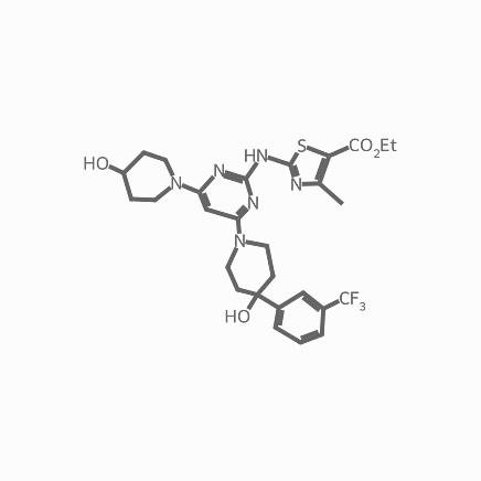 CCOC(=O)c1sc(Nc2nc(N3CCC(O)CC3)cc(N3CCC(O)(c4cccc(C(F)(F)F)c4)CC3)n2)nc1C